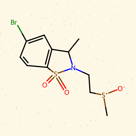 CC1c2cc(Br)ccc2S(=O)(=O)N1CC[S+](C)[O-]